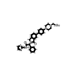 CC(C)(C)CN1CCN(c2ccc(-c3ccc4c(c3)C(=O)N(C(C(=O)Nc3nccs3)c3ccccc3)C4)cc2)CC1